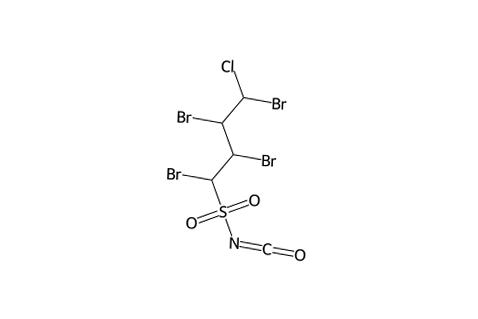 O=C=NS(=O)(=O)C(Br)C(Br)C(Br)C(Cl)Br